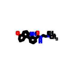 CN(C)CCNC(=O)c1cccc2c1[nH]c1ccc3c(c12)CCCC3=O